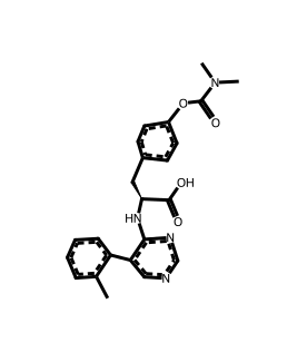 Cc1ccccc1-c1cncnc1N[C@@H](Cc1ccc(OC(=O)N(C)C)cc1)C(=O)O